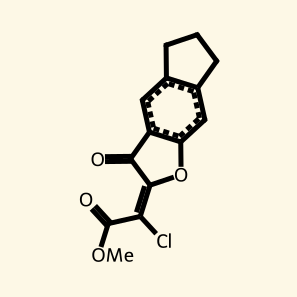 COC(=O)C(Cl)=C1Oc2cc3c(cc2C1=O)CCC3